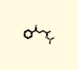 CC(CCC(=O)c1ccccc1)=NN(C)C